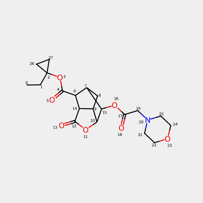 CCC1(OC(=O)C2C3CC4C(OC(=O)C42)C3OC(=O)CN2CCOCC2)CC1